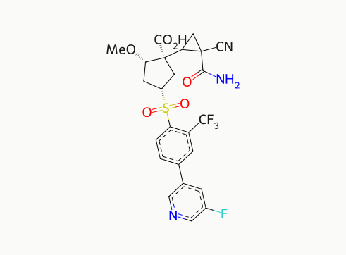 CO[C@H]1C[C@@H](S(=O)(=O)c2ccc(-c3cncc(F)c3)cc2C(F)(F)F)C[C@]1(C(=O)O)C1CC1(C#N)C(N)=O